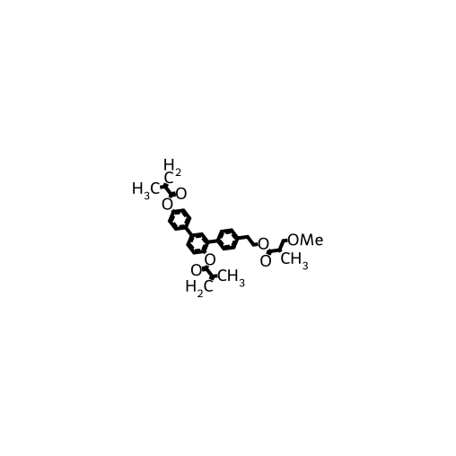 C=C(C)C(=O)Oc1ccc(-c2ccc(OC(=O)C(=C)C)c(-c3ccc(CCOC(=O)C(C)COC)cc3)c2)cc1